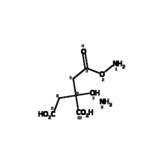 N.NOC(=O)CC(O)(CC(=O)O)C(=O)O